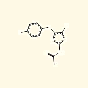 CC(C)C(=O)Nc1nc(C#N)c(Oc2ccc(F)cc2)s1